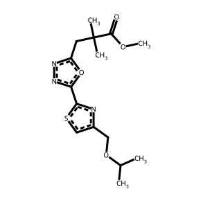 COC(=O)C(C)(C)Cc1nnc(-c2nc(COC(C)C)cs2)o1